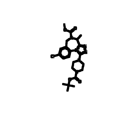 COC(=O)N1Cc2cc(Cl)ccc2-n2c(nnc2N2CCN(C(=O)OC(C)(C)C)CC2)C1C